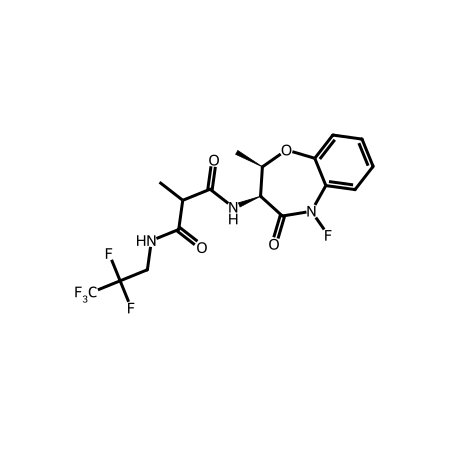 CC(C(=O)NCC(F)(F)C(F)(F)F)C(=O)N[C@@H]1C(=O)N(F)c2ccccc2O[C@@H]1C